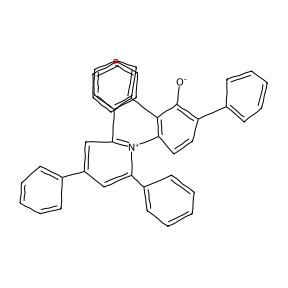 [O-]c1c(-c2ccccc2)ccc(-[n+]2c(-c3ccccc3)cc(-c3ccccc3)cc2-c2ccccc2)c1-c1ccccc1